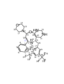 [O-][NH+]1/C(c2ccccc2F)=C\C(N2CCOCC2)OC2=C(CNCN2)C1Cc1cc(C(F)(F)F)cc(C(F)(F)F)c1